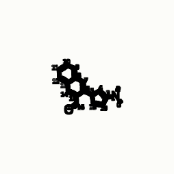 CN(C)C1=CC(c2cc3ccccc3cc2C=O)C=C1